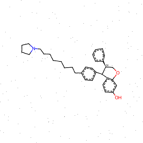 Oc1ccc2c(c1)OC[C@H](c1ccccc1)C2c1ccc(CCCCCCCCN2CCCC2)cc1